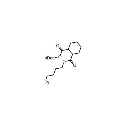 CCCCCCCCCCOC(=O)C1CCCCC1C(=O)OCCCCC(C)C